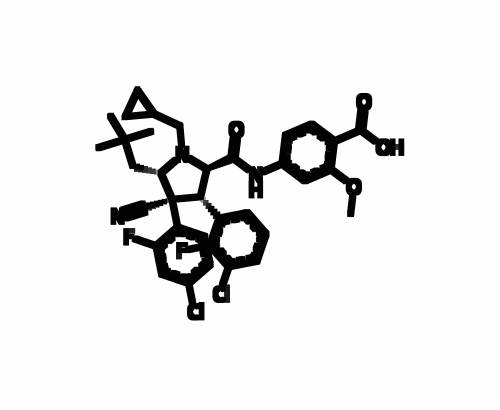 COc1cc(NC(=O)[C@H]2[C@H](c3cccc(Cl)c3F)[C@@](C#N)(c3ccc(Cl)cc3F)[C@H](CC(C)(C)C)N2CC2CC2)ccc1C(=O)O